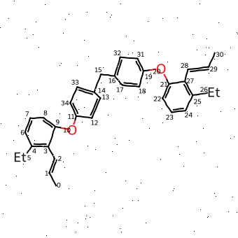 CC=Cc1c(CC)cccc1Oc1ccc(Cc2ccc(Oc3cccc(CC)c3C=CC)cc2)cc1